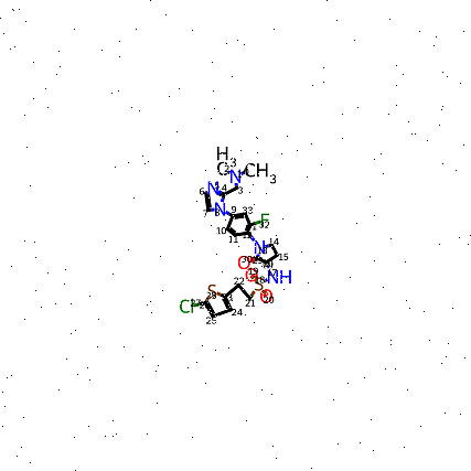 CN(C)Cc1nccn1-c1ccc(N2CC[C@H](NS(=O)(=O)CCc3ccc(Cl)s3)C2=O)c(F)c1